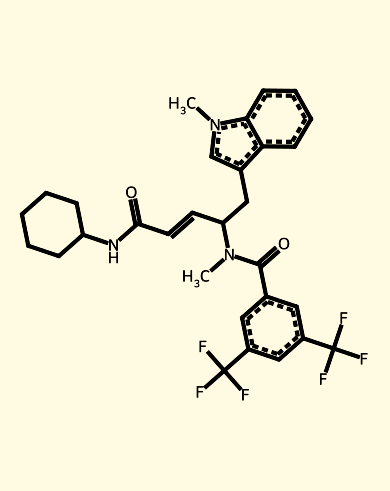 CN(C(=O)c1cc(C(F)(F)F)cc(C(F)(F)F)c1)C(C=CC(=O)NC1CCCCC1)Cc1cn(C)c2ccccc12